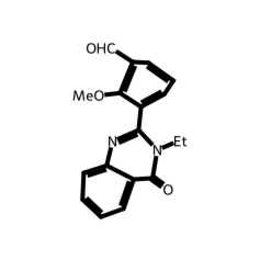 CCn1c(-c2cccc(C=O)c2OC)nc2ccccc2c1=O